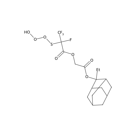 CCC1(OC(=O)COC(=O)C(F)(SOOO)C(F)(F)F)C2CC3CC(C2)CC1C3